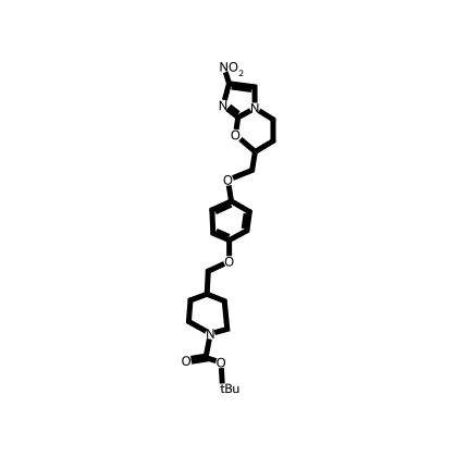 CC(C)(C)OC(=O)N1CCC(COc2ccc(OCC3CCn4cc([N+](=O)[O-])nc4O3)cc2)CC1